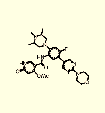 COc1cc(=O)[nH]cc1C(=O)Nc1cc(-c2cnc(N3CCOCC3)nc2)c(F)cc1N1CC(C)N(C)C(C)C1